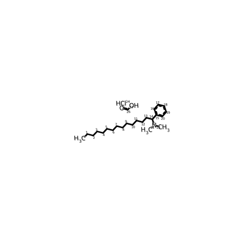 CCCCCCCCCCCCCCC(c1ccccc1)N(C)C.Cl.O=CO